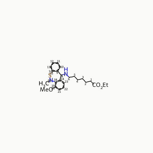 CCOC(=O)CCCCCCNC1c2ccccc2SN(C)c2c(OC)cccc21